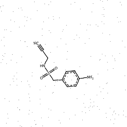 C#CCNS(=O)(=O)Cc1ccc(N)cc1